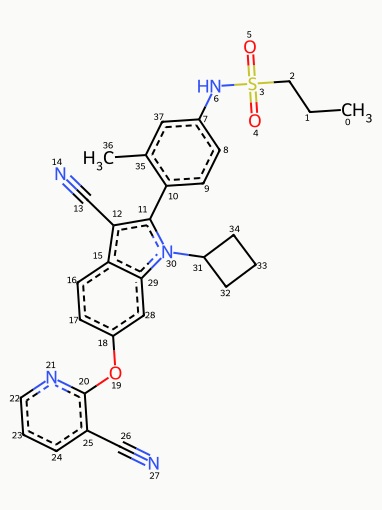 CCCS(=O)(=O)Nc1ccc(-c2c(C#N)c3ccc(Oc4ncccc4C#N)cc3n2C2CCC2)c(C)c1